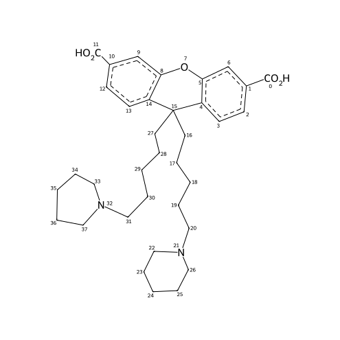 O=C(O)c1ccc2c(c1)Oc1cc(C(=O)O)ccc1C2(CCCCCN1CCCCC1)CCCCCN1CCCCC1